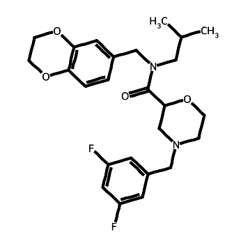 CC(C)CN(Cc1ccc2c(c1)OCCO2)C(=O)C1CN(Cc2cc(F)cc(F)c2)CCO1